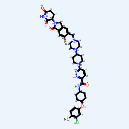 N#Cc1ccc(OC2CCC(NC(=O)c3ccc(N4CCC(N5CCN(Cc6cc7c(cc6Br)C(=O)N(C6CCC(=O)NC6=O)C7)CC5)CC4)nn3)CC2)cc1Cl